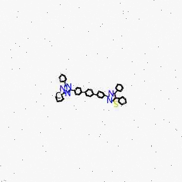 c1ccc(-c2nc(-c3ccccc3)nc(-c3ccc(-c4ccc(-c5ccc(-c6nc(-c7ccccc7)c7c(n6)sc6ccccc67)cc5)cc4)cc3)n2)cc1